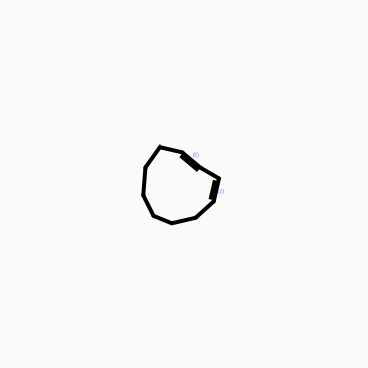 [CH]1/C=C/C=C\CCCCC1